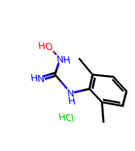 Cc1cccc(C)c1NC(=N)NO.Cl